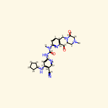 CN1CCN(Cc2ccc(N(C)C(=O)Nc3cc(NC4CCCC4)c(C#N)cn3)nc2C=O)C(=O)C1